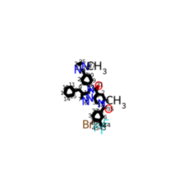 C[C@H]1Cc2c(n3ncc(Cc4ccccc4)c3n(-c3ccc(-c4nccn4C)cc3)c2=O)CN1C(=O)c1ccc(Br)c(C(F)(F)F)c1